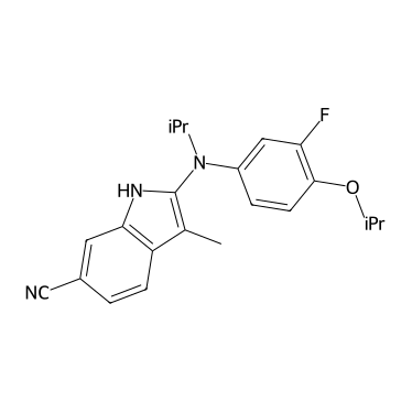 Cc1c(N(c2ccc(OC(C)C)c(F)c2)C(C)C)[nH]c2cc(C#N)ccc12